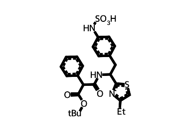 CCc1csc(C(Cc2ccc(NS(=O)(=O)O)cc2)NC(=O)C(C(=O)OC(C)(C)C)c2ccccc2)n1